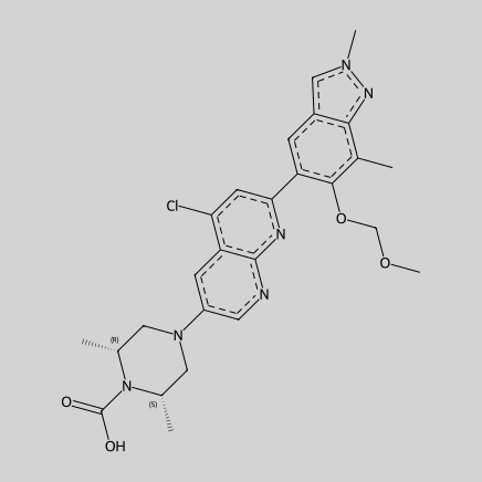 COCOc1c(-c2cc(Cl)c3cc(N4C[C@@H](C)N(C(=O)O)[C@@H](C)C4)cnc3n2)cc2cn(C)nc2c1C